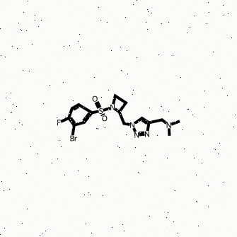 CN(C)Cc1cn(CC2CCN2S(=O)(=O)c2ccc(F)c(Br)c2)nn1